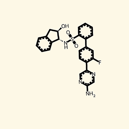 Nc1cnc(-c2ccc(-c3ccccc3S(=O)(=O)N[C@@H]3c4ccccc4C[C@H]3O)cc2F)cn1